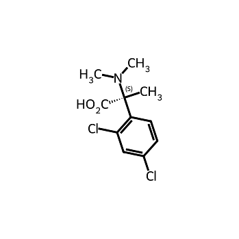 CN(C)[C@](C)(C(=O)O)c1ccc(Cl)cc1Cl